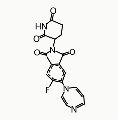 O=C1CCC(N2C(=O)c3cc(F)c(N4C=CC=NC=C4)cc3C2=O)C(=O)N1